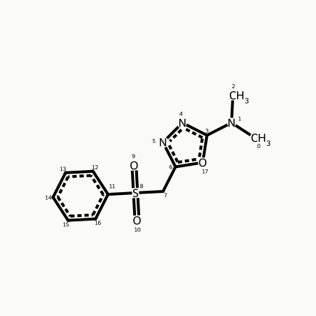 CN(C)c1nnc(CS(=O)(=O)c2ccccc2)o1